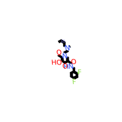 C/C=C\CN(C)CCn1cc(C(=O)NCc2ccc(F)cc2F)c(=O)c(O)c1C=O